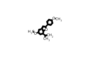 C=C(C)c1cc(OC)cc2cc(-c3ccc(OC)cc3)oc12